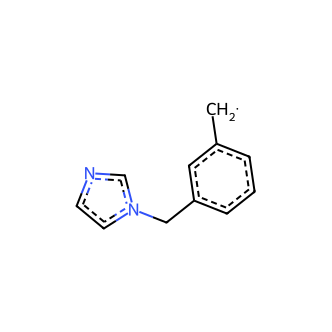 [CH2]c1cccc(Cn2ccnc2)c1